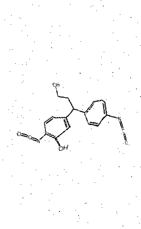 O=C=Nc1ccc(C(CCO)c2ccc(N=C=O)c(O)c2)cc1